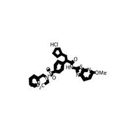 CCOC(=O)CN(Cc1ccccn1)S(=O)(=O)c1ccc(C(CC2CCCC2)C(=O)Nc2nc3ccc(OC)nc3s2)cc1.Cl